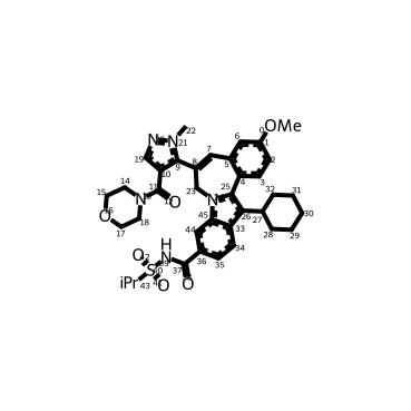 COc1ccc2c(c1)C=C(c1c(C(=O)N3CCOCC3)cnn1C)Cn1c-2c(C2CCCCC2)c2ccc(C(=O)NS(=O)(=O)C(C)C)cc21